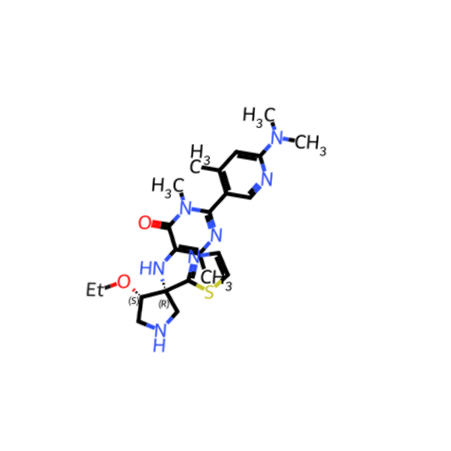 CCO[C@H]1CNC[C@]1(Nc1c(C)nc(-c2cnc(N(C)C)cc2C)n(C)c1=O)c1nccs1